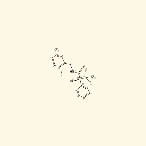 O=C(NCc1cc(C(F)(F)F)ccc1F)[C@@](O)(c1ccccc1)C(F)(F)C(F)(F)F